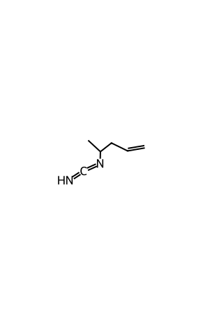 C=CCC(C)N=C=N